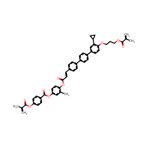 C=C(C)C(=O)OCCCOc1ccc(-c2ccc(-c3ccc(/C=C/C(=O)Oc4ccc(OC(=O)c5ccc(OC(=O)C(=C)C)cc5)cc4C)cc3)cc2)cc1C1CC1